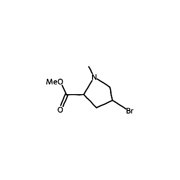 COC(=O)C1CC(Br)CN1C